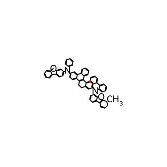 C[C@H]1CC=Cc2c1oc1c(N(c3ccc4c(c3)CCc3c-4c4ccccc4c4cc(N(c5ccccc5)c5ccc6c(c5)oc5ccccc56)ccc34)c3ccccc3-c3ccccc3)cccc21